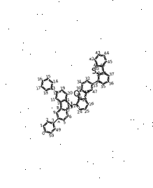 c1ccc(-c2ccc3c(c2)c2cc(-c4ccccc4)ccc2n3-c2cccc3c2oc2ccc(-c4cccc5c4sc4ccccc45)cc23)cc1